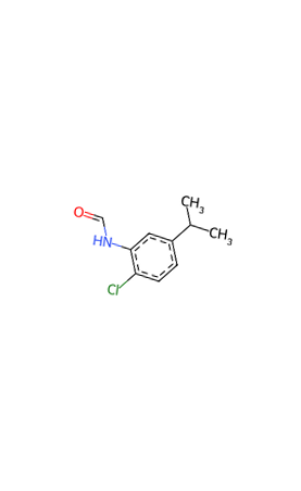 CC(C)c1ccc(Cl)c(NC=O)c1